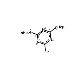 C[CH]c1nc(CCCCCCC)nc(CCCCCCC)n1